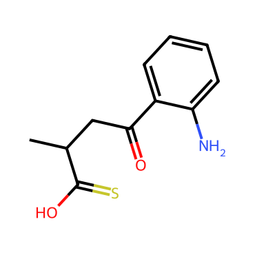 CC(CC(=O)c1ccccc1N)C(O)=S